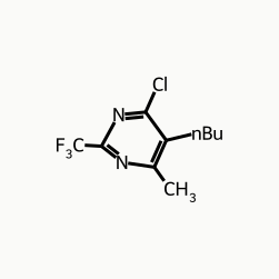 CCCCc1c(C)nc(C(F)(F)F)nc1Cl